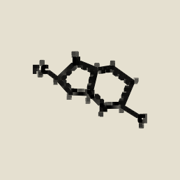 FC(F)(F)c1cn2nc(Cl)ccc2n1